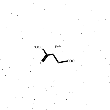 O=C([O-])CCC(=O)C(=O)[O-].[Fe+2]